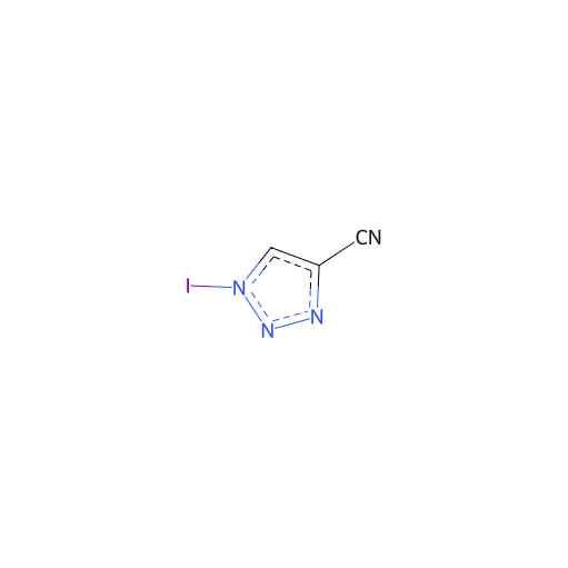 N#Cc1cn(I)nn1